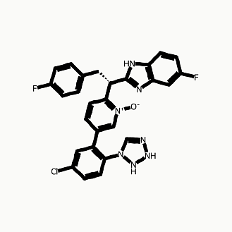 [O-][n+]1cc(-c2cc(Cl)ccc2N2C=NNN2)ccc1[C@H](Cc1ccc(F)cc1)c1nc2cc(F)ccc2[nH]1